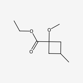 CCOC(=O)C1(OC)CC(C)C1